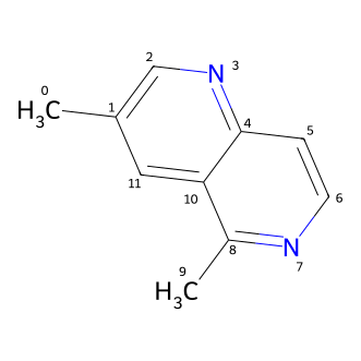 Cc1cnc2ccnc(C)c2c1